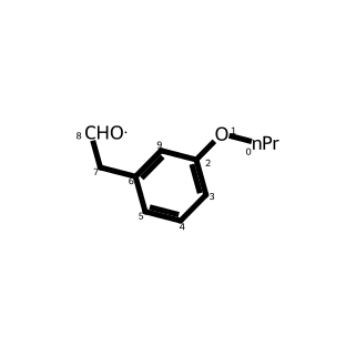 CCCOc1cccc(C[C]=O)c1